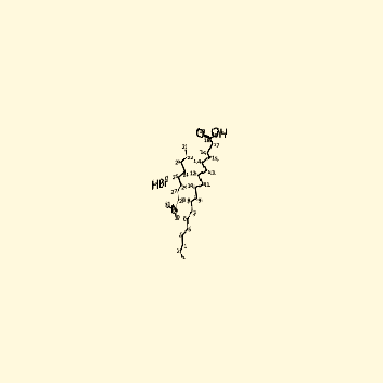 Br.CCCCCCCCCCCCCCCCCC(=O)O.CCCCCCCCN(C)C